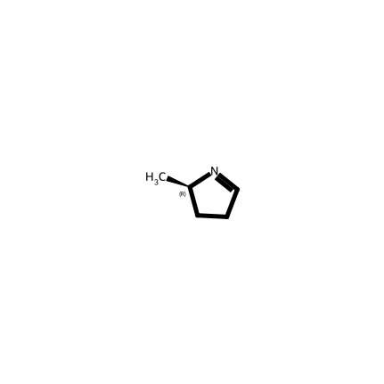 C[C@@H]1CCC=N1